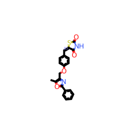 Cc1oc(-c2ccccc2)nc1COc1ccc(/C=C2/SC(=O)NC2=O)cc1